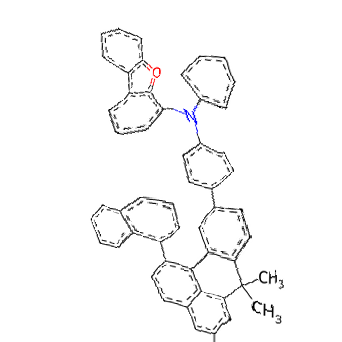 CC1(C)c2ccc(-c3ccc(N(c4ccccc4)c4cccc5c4oc4ccccc45)cc3)cc2-c2c(-c3cccc4ccccc34)ccc3cccc1c23